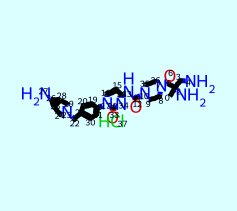 CC(N)(CN)C(=O)N1CCN(C(=O)Nc2ccn(-c3ccc(CN4CC5C(N)C5C4)cc3)c(=O)n2)CC1.Cl